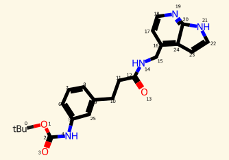 CC(C)(C)OC(=O)Nc1cccc(CCC(=O)NCc2ccnc3[nH]ccc23)c1